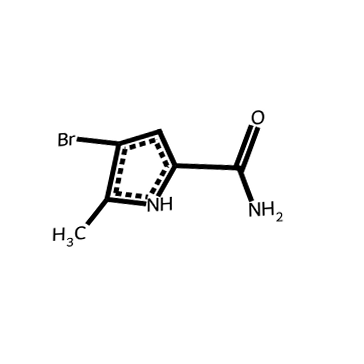 Cc1[nH]c(C(N)=O)cc1Br